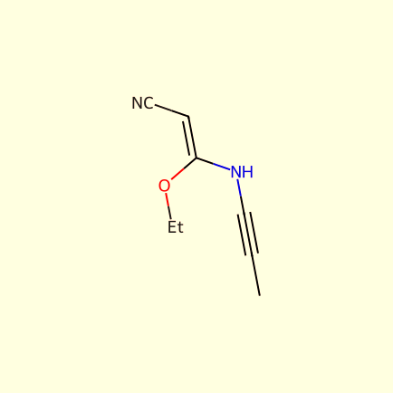 CC#CNC(=CC#N)OCC